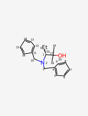 CC[C@H](N(Cc1ccccc1)Cc1ccccc1)C(C)(C)O